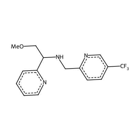 COCC(NCc1ccc(C(F)(F)F)cn1)c1ccccn1